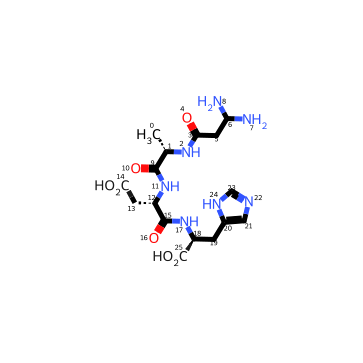 C[C@H](NC(=O)CC(N)N)C(=O)N[C@@H](CC(=O)O)C(=O)N[C@@H](Cc1cnc[nH]1)C(=O)O